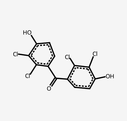 O=C(c1ccc(O)c(Cl)c1Cl)c1ccc(O)c(Cl)c1Cl